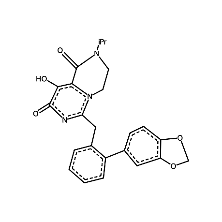 CC(C)N1CCn2c(Cc3ccccc3-c3ccc4c(c3)OCO4)nc(=O)c(O)c2C1=O